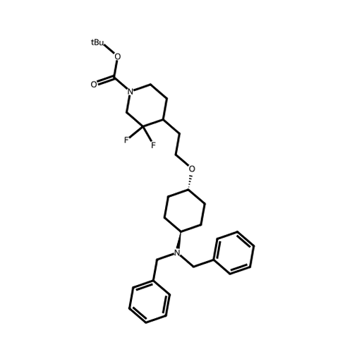 CC(C)(C)OC(=O)N1CCC(CCO[C@H]2CC[C@H](N(Cc3ccccc3)Cc3ccccc3)CC2)C(F)(F)C1